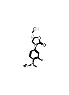 CCCN(C)c1ccc(N2C[C@H](CO)OC2=O)cc1F